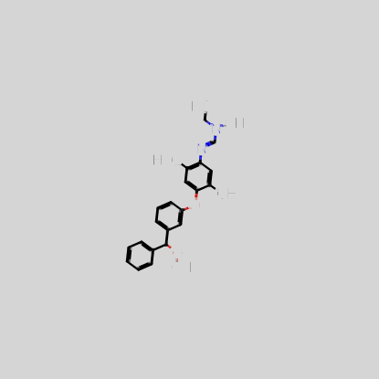 CCN(C)C=Nc1cc(C)c(Oc2cccc(C(OC)c3ccccc3)c2)cc1C